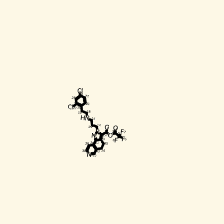 O=C(OC(=O)C(F)(F)F)c1c2c(nn1CCCNCCc1ccc(Cl)cc1Cl)-c1ccncc1CC2